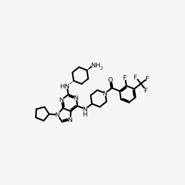 N[C@H]1CC[C@H](Nc2nc(NC3CCN(C(=O)c4cccc(C(F)(F)F)c4F)CC3)c3ncn(C4CCCC4)c3n2)CC1